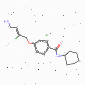 Cl.NCC=C(F)COc1ccc(C(=O)NC2CCCCC2)cc1